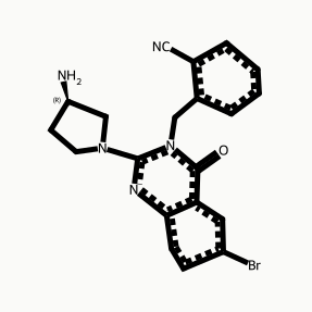 N#Cc1ccccc1Cn1c(N2CC[C@@H](N)C2)nc2ccc(Br)cc2c1=O